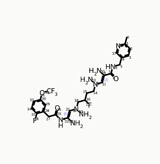 Cc1ccc(CNC(=O)/C(N)=C/N(N)CCC(F)CN(N)/C=C(\N)NC(=O)Cc2cc(OC(F)(F)F)ccc2F)cn1